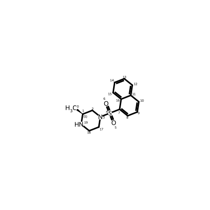 C[C@H]1CN(S(=O)(=O)c2cccc3ccccc23)CCN1